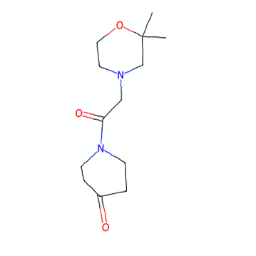 CC1(C)CN(CC(=O)N2CCC(=O)CC2)CCO1